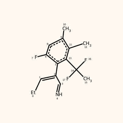 CC/C=C(\C=N)c1c(F)cc(C)c(C)c1C(C)(F)F